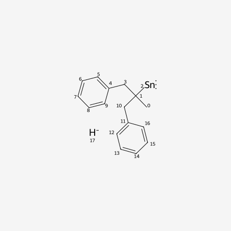 C[C]([Sn])(Cc1ccccc1)Cc1ccccc1.[H-]